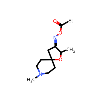 CCC(=O)ON=C1CC2(CCN(C)CC2)OC1C